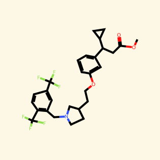 COC(=O)CC(c1cccc(OCCC2CCN(Cc3cc(C(F)(F)F)ccc3C(F)(F)F)C2)c1)C1CC1